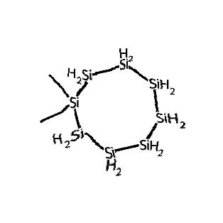 C[Si]1(C)[SiH2][SiH2][SiH2][SiH2][SiH2][SiH2][SiH2]1